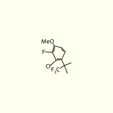 COc1ccc(C(C)(C)C(F)(F)F)c(Cl)c1F